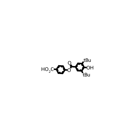 CC(C)(C)c1cc(C(=O)Oc2ccc(C(=O)O)cc2)cc(C(C)(C)C)c1O